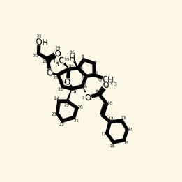 CC1CC[C@@H]2C1[C@H](OC(=O)/C=C/C1CCCCC1)[C@]1(C3CCCCC3)C[C@@H](OC(=O)CO)[C@@]2(C)O1